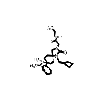 CCN(C)[C@]1(c2ccccc2)CC[C@]2(CC1)CN(CC(=O)NCCO)C(=O)N2CC1CCC1